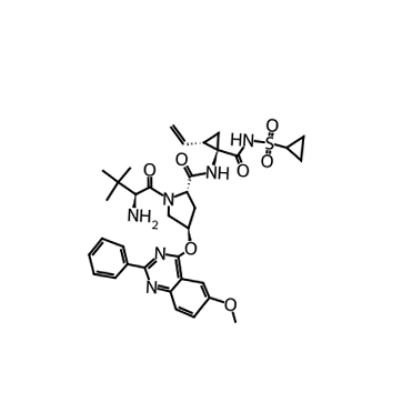 C=C[C@@H]1C[C@]1(NC(=O)[C@@H]1C[C@@H](Oc2nc(-c3ccccc3)nc3ccc(OC)cc23)CN1C(=O)[C@@H](N)C(C)(C)C)C(=O)NS(=O)(=O)C1CC1